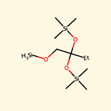 CCC(CO[SiH3])(O[Si](C)(C)C)O[Si](C)(C)C